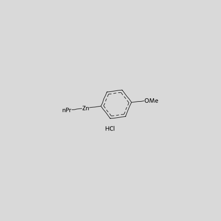 CC[CH2][Zn][c]1ccc(OC)cc1.Cl